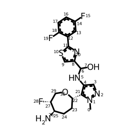 Cn1ncc(NC(O)c2csc(-c3cc(F)ccc3F)n2)c1[C@@H]1CC[C@@H](N)[C@H](F)CO1